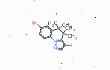 CC1(C)c2cc(Br)ccc2-n2ncc(I)c2C1(C)C